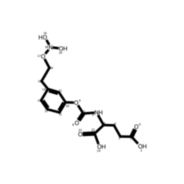 O=C(O)CCC(NC(=O)Oc1cccc(CCON(O)O)c1)C(=O)O